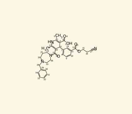 CC1=C(C(=O)O)C(c2cccc(C(=O)OCCC#N)c2)C(C(=O)N2CCCN(Cc3ccccc3)CC2)=C(C)N1